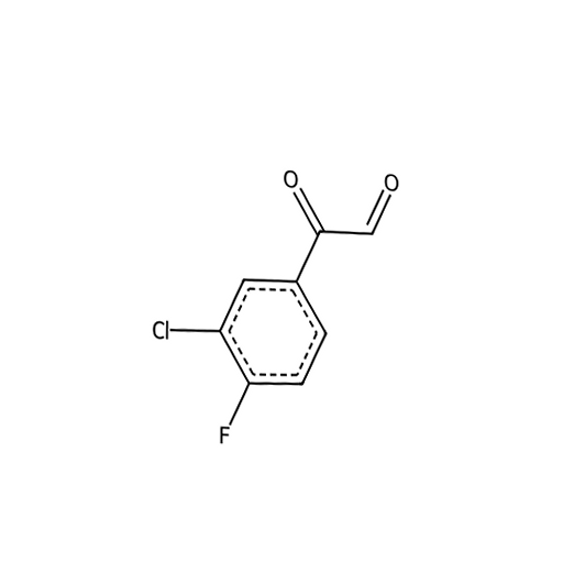 O=CC(=O)c1ccc(F)c(Cl)c1